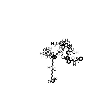 [CH2]CCN(CCOC12CC3(C)CC(C)(CC(Cn4ncc(-c5ccc(-c6ccc7cccc(C(=O)Nc8nc9ccccc9s8)c7c6)nc5C(=O)O)c4C)(C3)C1)C2)C(=O)OCc1ccc(CCCCNC(=O)CCCCCN2C(=O)C=CC2=O)cc1O[C@@H]1O[C@H](C(=O)O)[C@@H](O)[C@H](O)[C@H]1O